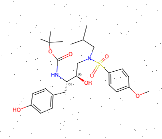 COc1ccc(S(=O)(=O)N(CC(C)C)C[C@@H](O)[C@H](Cc2ccc(O)cc2)NC(=O)OC(C)(C)C)cc1